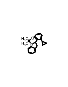 CC(C)(C)N1c2ccccc2CC1c1ccccc1C1CC1